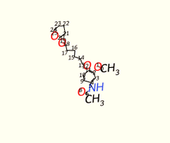 COc1cc(NC(C)=O)ccc1OCCCCCCOC1CCCCO1